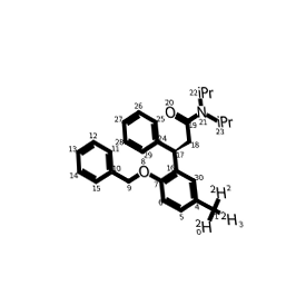 [2H]C([2H])([2H])c1ccc(OCc2ccccc2)c([C@H](CC(=O)N(C(C)C)C(C)C)c2ccccc2)c1